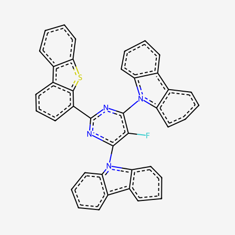 Fc1c(-n2c3ccccc3c3ccccc32)nc(-c2cccc3c2sc2ccccc23)nc1-n1c2ccccc2c2ccccc21